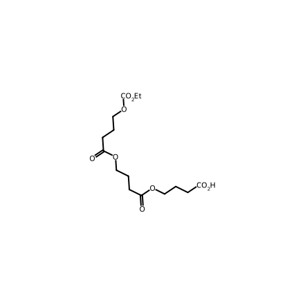 CCOC(=O)OCCCC(=O)OCCCC(=O)OCCCC(=O)O